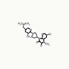 Cc1cc(CN(C)C)cnc1N1CCC(n2c(=O)c(=O)n(C)c3cc(Cl)cnc32)CC1